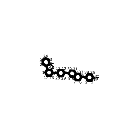 Fc1ccc(-c2ccc3cc(-c4ccc(-c5cccc6c5sc5ccccc56)cc4)ccc3c2)cc1